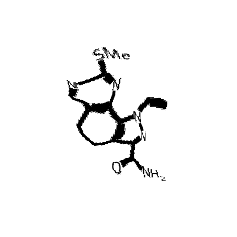 C=Cn1nc(C(N)=O)c2c1-c1nc(SC)ncc1CC2